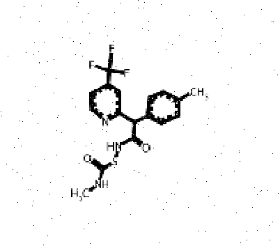 CNC(=O)SNC(=O)C(c1ccc(C)cc1)c1cc(C(F)(F)F)ccn1